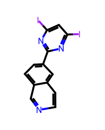 Ic1cc(I)nc(-c2ccc3cnccc3c2)n1